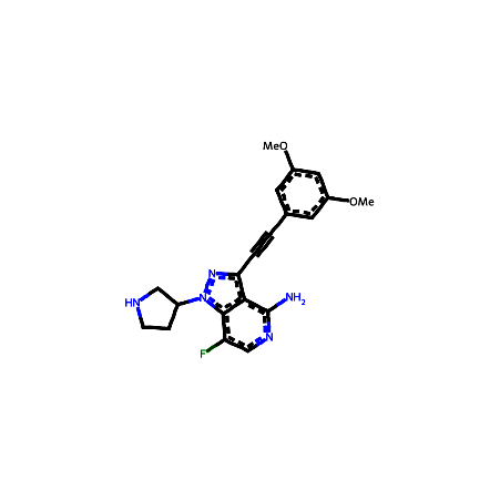 COc1cc(C#Cc2nn(C3CCNC3)c3c(F)cnc(N)c23)cc(OC)c1